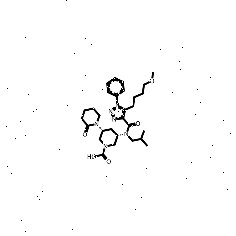 COCCCCc1c(C(=O)N(CC(C)C)[C@H]2C[C@@H](N3CCCCC3=O)CN(C(=O)O)C2)nnn1-c1ccccc1